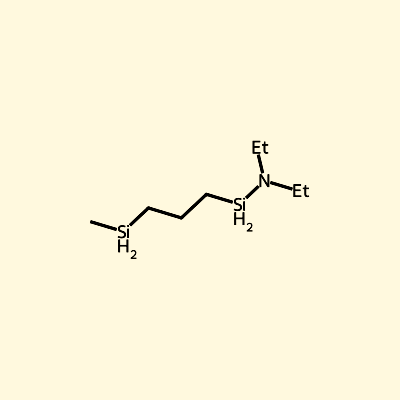 CCN(CC)[SiH2]CCC[SiH2]C